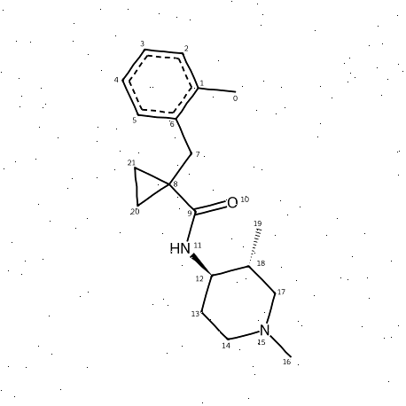 Cc1ccccc1CC1(C(=O)N[C@@H]2CCN(C)C[C@H]2C)CC1